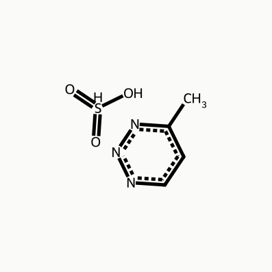 Cc1ccnnn1.O=[SH](=O)O